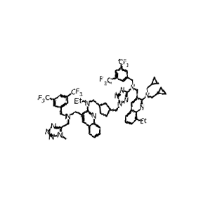 CCc1cccc2cc(CN(Cc3cc(C(F)(F)F)cc(C(F)(F)F)c3)c3nnn(CC4CCC(CN(CC)c5nc6ccccc6cc5CN(Cc5cc(C(F)(F)F)cc(C(F)(F)F)c5)Cc5nnnn5C)C4)n3)c(N(CC3CC3)CC3CC3)nc12